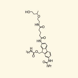 [2H]NC(=O)OCC1c2cc(NC(=O)CCC)ccc2-c2ccc(NC(=O)CCCC(=O)NCCOC(C)CCO)cc21